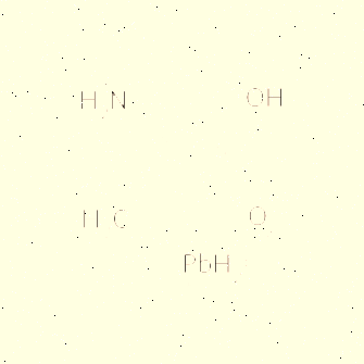 C[C@H](N)C(=O)O.[PbH2]